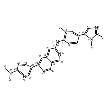 Cc1cc(-c2cnc(C)n2C)ccc1Nc1cc2cc(-c3ccc(N(C)C)nc3)ccc2cn1